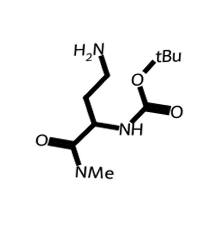 CNC(=O)C(CCN)NC(=O)OC(C)(C)C